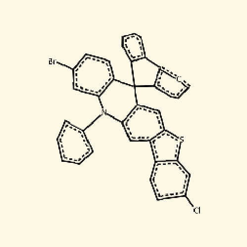 Clc1ccc2c(c1)sc1cc3c(cc12)N(c1ccccc1)c1cc(Br)ccc1C31c2ccccc2-c2ccccc21